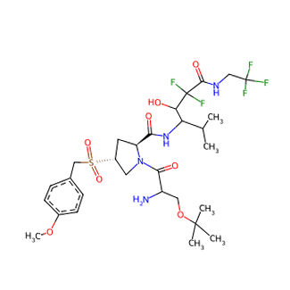 COc1ccc(CS(=O)(=O)[C@@H]2C[C@@H](C(=O)NC(C(C)C)C(O)C(F)(F)C(=O)NCC(F)(F)F)N(C(=O)C(N)COC(C)(C)C)C2)cc1